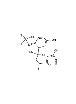 CC(CC(O)(O)C1C=C(O)C=CC1=NP(=O)(O)O)c1cccc(O)c1